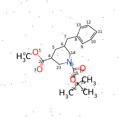 COC(=O)C1CC(Cc2ccccc2)CN(C(=O)OC(C)(C)C)C1